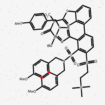 COc1ccc(CN(Cc2ccc(OC)cc2)S(=O)(=O)c2c(S(=O)(=O)CC[Si](C)(C)C)ccc(-c3cccc4sc(N(C(=O)O)C(=O)OC(C)(C)C)nc34)c2-c2nnn(Cc3ccc(OC)cc3)n2)cc1